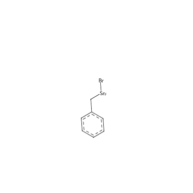 [Br][Sn][CH2]c1ccccc1